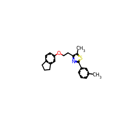 Cc1cccc(-c2nc(CCOc3ccc4c(c3)CCC4)c(C)s2)c1